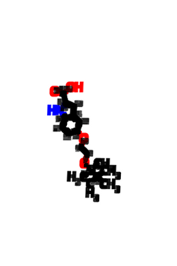 CC(C)(C)[Si](C)(C)OCCOc1ccc2[nH]c(C(=O)O)cc2c1